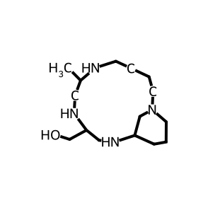 CC1CNC(CO)CNC2CCCN(CCCCN1)C2